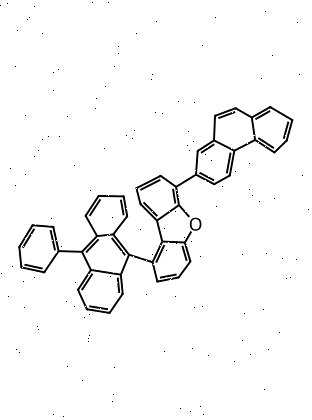 c1ccc(-c2c3ccccc3c(-c3cccc4oc5c(-c6ccc7c(ccc8ccccc87)c6)cccc5c34)c3ccccc23)cc1